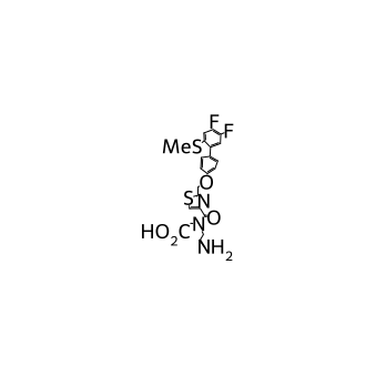 CSc1cc(F)c(F)cc1-c1ccc(OCc2nc(C(=O)N(CCN)CC(=O)O)cs2)cc1